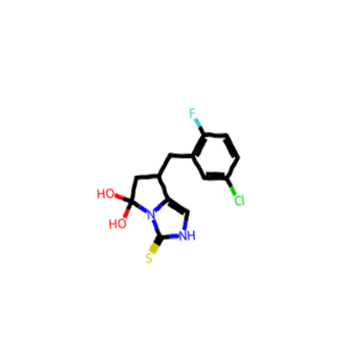 OC1(O)CC(Cc2cc(Cl)ccc2F)c2c[nH]c(=S)n21